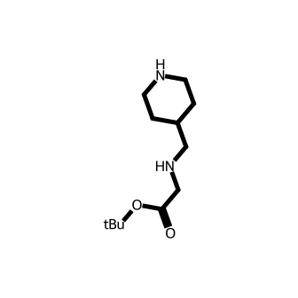 CC(C)(C)OC(=O)CNCC1CCNCC1